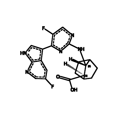 O=C(O)[C@@H]1C2CCC(CC2)[C@H]1Nc1ncc(F)c(-c2c[nH]c3ncc(F)cc23)n1